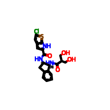 O=C(N[C@@H]1Cc2ccccc2[C@H]1NC(=O)C(CO)CO)c1cc2cc(Cl)sc2[nH]1